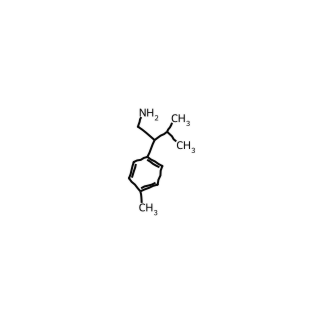 Cc1ccc(C(CN)C(C)C)cc1